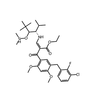 CCOC(=O)C(=CN[C@@H](C(C)C)C(O[SiH](C)C)C(C)(C)C)C(=O)c1cc(Cc2cccc(Cl)c2F)c(OC)cc1OC